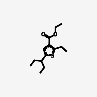 CCOC(=O)c1cc(C(CC)CC)sc1CC